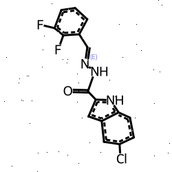 O=C(N/N=C/c1cccc(F)c1F)c1cc2cc(Cl)ccc2[nH]1